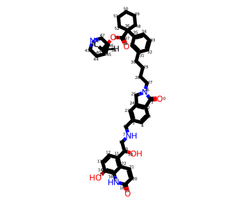 O=C1c2ccc(CNCC(O)c3ccc(O)c4[nH]c(=O)ccc34)cc2CN1CCCCc1cccc(C2(C(=O)O[C@H]3CN4CCC3CC4)CCCCC2)c1